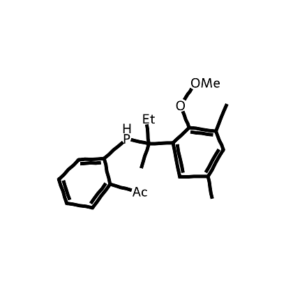 CCC(C)(Pc1ccccc1C(C)=O)c1cc(C)cc(C)c1OOC